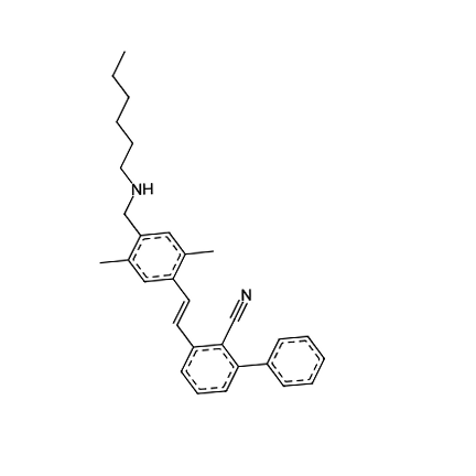 CCCCCCNCc1cc(C)c(/C=C/c2cccc(-c3ccccc3)c2C#N)cc1C